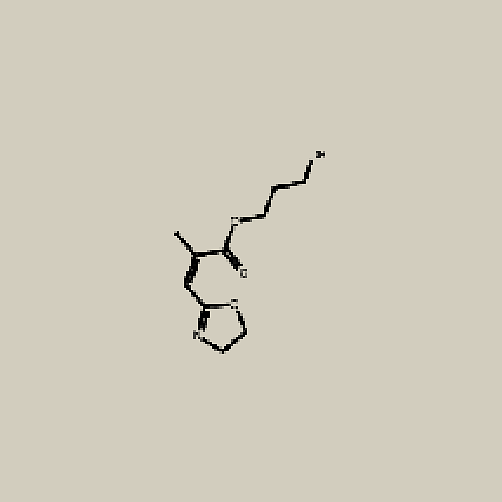 CC(=CC1=NCCO1)C(=O)OCCCO